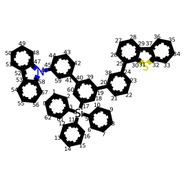 c1ccc([Si](c2ccccc2)(c2ccccc2)c2cc(-c3cccc(-c4cccc5c4sc4ccccc45)c3)cc(-c3cccc(-n4c5ccccc5c5ccccc54)c3)c2)cc1